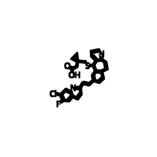 O=C(O)CC1(CSC2c3cc(C=Cc4ccc5cc(F)c(Cl)cc5n4)ccc3C=Cc3ncccc32)CC1